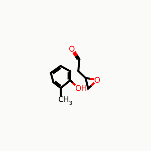 Cc1ccccc1O.O=CCC1CO1